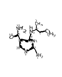 CCC(C)Nc1nc(N)ncc1C(N)=O